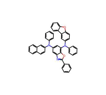 c1ccc(-c2nc3cc(N(c4ccccc4)c4ccc5ccccc5c4)cc(N(c4ccccc4)c4ccc5oc6ccccc6c5c4)c3o2)cc1